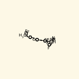 CN(Cc1ccc(COc2ccc(C#Cc3ccc(C(F)(F)C(O)(Cn4cnnn4)c4ccc(F)cc4F)nc3)cc2)cc1)CC(F)(F)F